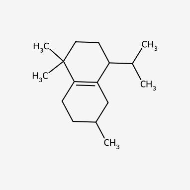 CC1CCC2=C(C1)C(C(C)C)CCC2(C)C